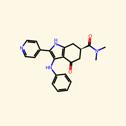 CN(C)C(=O)[C@H]1CC(=O)c2c([nH]c(-c3ccncc3)c2Nc2ccccc2)C1